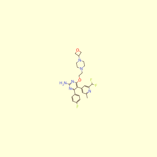 Cc1cc(-c2c(OCCN3CCN(C4COC4)CC3)nc(N)nc2-c2ccc(F)cc2)cc(C(F)F)n1